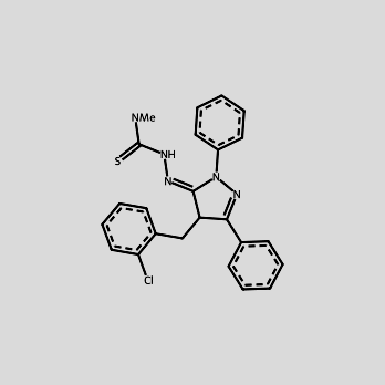 CNC(=S)NN=C1C(Cc2ccccc2Cl)C(c2ccccc2)=NN1c1ccccc1